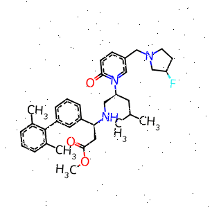 COC(=O)C[C@H](NC[C@H](CC(C)C)n1cc(CN2CC[C@@H](F)C2)ccc1=O)c1cccc(-c2c(C)cccc2C)c1